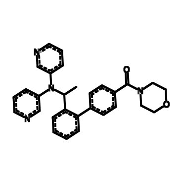 CC(c1ccccc1-c1ccc(C(=O)N2CCOCC2)cc1)N(c1cccnc1)c1cccnc1